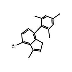 CC1=CCc2c(-c3c(C)cc(C)cc3C)ccc(Br)c21